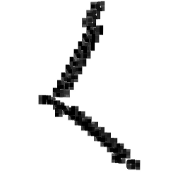 Cl.Cl.Cl.Cl.Cl.[NaH].[NaH].[NaH].[NaH].[NaH].[NaH].[NaH].[NaH].[NaH].[NaH].[NaH].[NaH].[NaH].[NaH].[NaH].[NaH].[NaH].[NaH].[NaH].[NaH]